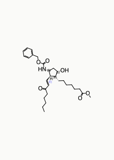 CCCCCC(=O)/C=C/[C@@H]1[C@@H](CCCCCCC(=O)OC)[C@@H](O)C[C@H]1NC(=O)OCc1ccccc1